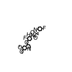 COc1cc2nccc(Oc3ccc(NC(=O)C4(C(=O)N(C)c5ccc(F)cc5)CC4)cc3F)c2cc1OC